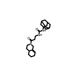 O=C(NCCC(=O)N1CCC2CCCC=C2C1)NC12CC3CC(CC(C3)C1)C2